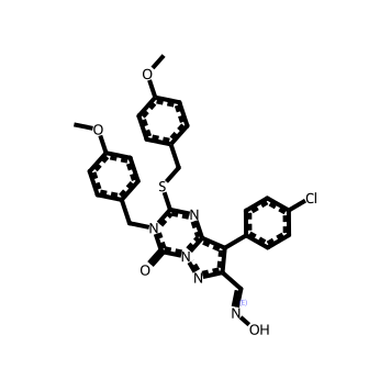 COc1ccc(CSc2nc3c(-c4ccc(Cl)cc4)c(/C=N/O)nn3c(=O)n2Cc2ccc(OC)cc2)cc1